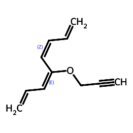 C#CCOC(/C=C\C=C)=C/C=C